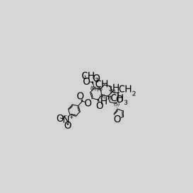 C=C1O[C@H](c2ccoc2)C[C@]2(C)[C@H]3C(=O)C(OC(=O)c4ccc([N+](=O)[O-])cc4)=C[C@@H](C(=O)OC)[C@]3(C)CC[C@@H]12